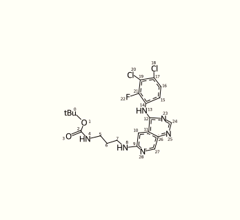 CC(C)(C)OC(=O)NCCCNc1cc2c(Nc3ccc(Cl)c(Cl)c3F)ncnc2cn1